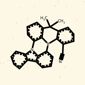 CC1(C)c2cccc(C#N)c2B2c3c(cccc31)-n1c3ccccc3c3cccc2c31